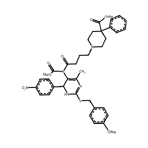 COC(=O)N(C(=O)CCCN1CCC(C(=O)OC)(c2ccccc2)CC1)C1=C(C)N=C(SCc2ccc(OC)cc2)NC1c1ccc([N+](=O)[O-])cc1